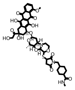 CNC(=O)C1CCC(CN2C(=O)CC(SC3OCCN4[C@@H]3O[C@@H]3[C@H](C)O[C@@H](O[C@H]5C[C@](O)(C(=O)CO)Cc6c(O)c7c(c(O)c65)C(=O)c5c(OC)cccc5C7=O)C[C@@H]34)C2=O)CC1